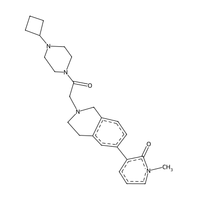 Cn1cccc(-c2ccc3c(c2)CCN(CC(=O)N2CCN(C4CCC4)CC2)C3)c1=O